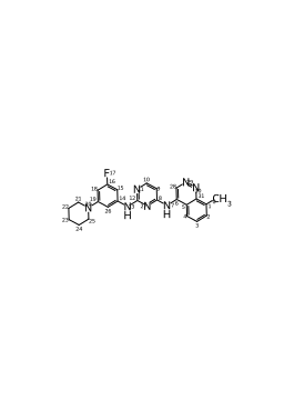 Cc1cccc2c(Nc3ccnc(Nc4cc(F)cc(N5CCCCC5)c4)n3)cnnc12